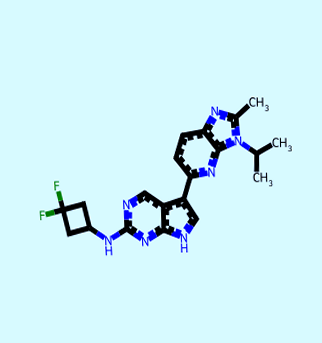 Cc1nc2ccc(-c3c[nH]c4nc(NC5CC(F)(F)C5)ncc34)nc2n1C(C)C